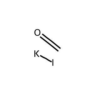 C=O.[K][I]